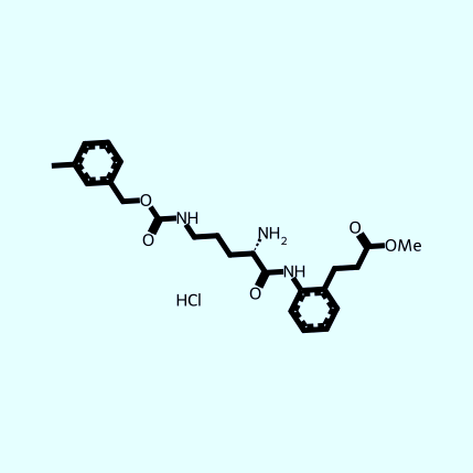 COC(=O)CCc1ccccc1NC(=O)[C@@H](N)CCCNC(=O)OCc1cccc(C)c1.Cl